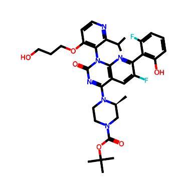 CC(C)c1nccc(OCCCO)c1-n1c(=O)nc(N2CCN(C(=O)OC(C)(C)C)C[C@@H]2C)c2cc(F)c(-c3c(O)cccc3F)nc21